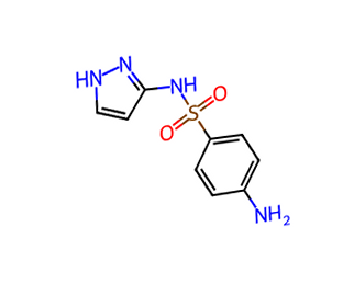 Nc1ccc(S(=O)(=O)Nc2cc[nH]n2)cc1